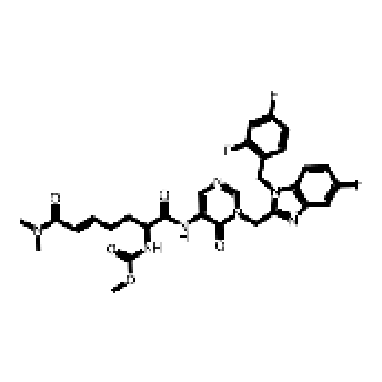 COC(=O)NC(CC/C=C/C(=O)N(C)C)C(=O)Nc1cncn(Cc2nc3cc(F)ccc3n2Cc2ccc(F)cc2F)c1=O